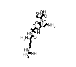 CNC(=N)NCCC[C@H](N)C(=O)NC(C)(C)C(=O)N[C@@H](CC(N)=O)C(=O)N[C@@H](CS)C(=O)O